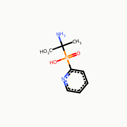 CC(N)(C(=O)O)P(=O)(O)c1ccccn1